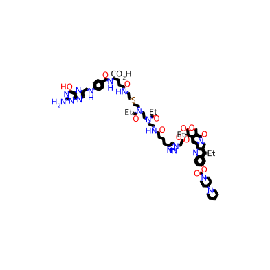 CCC(=O)N(CCNC(=O)CCCc1cn(CC(=O)O[C@]2(CC)C(=O)OCc3c2cc2n(c3=O)Cc3c-2nc2ccc(OC(=O)N4CCC(N5CCCCC5)CC4)cc2c3CC)nn1)CCN(CCSCCNC(=O)CCC(NC(=O)c1ccc(NCc2cnc3nc(N)nc(O)c3n2)cc1)C(=O)O)C(=O)CC